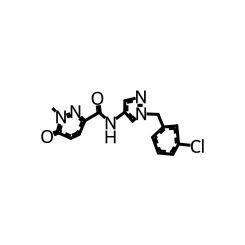 Cn1nc(C(=O)Nc2cnn(Cc3cccc(Cl)c3)c2)ccc1=O